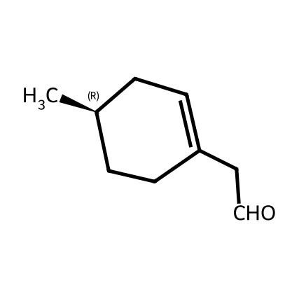 C[C@H]1CC=C(CC=O)CC1